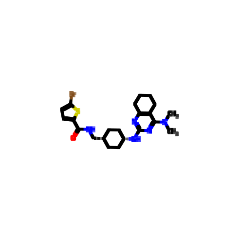 CN(C)c1nc(N[C@H]2CC[C@@H](CNC(=O)c3ccc(Br)s3)CC2)nc2c1CCCC2